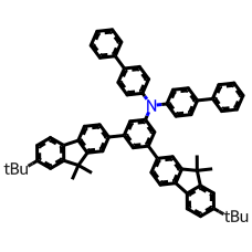 CC(C)(C)c1ccc2c(c1)C(C)(C)c1cc(-c3cc(-c4ccc5c(c4)C(C)(C)c4cc(C(C)(C)C)ccc4-5)cc(N(c4ccc(-c5ccccc5)cc4)c4ccc(-c5ccccc5)cc4)c3)ccc1-2